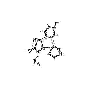 C=CCn1c(-c2ccncc2)c(-c2ccc(F)cc2)[nH]c1=S